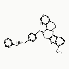 FC(F)(F)c1cccc2[nH]c(CN(Cc3ccc(CNCc4ccccn4)cc3)C3CCCc4cccnc43)nc12